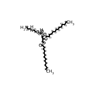 CCCCCCCCCCCCCC(=O)OCC(CO[PH](=O)OOCCNCCN)OC(=O)CCCCCCCCCCCCC